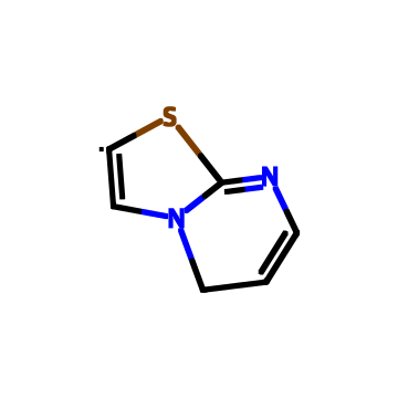 [C]1=CN2CC=CN=C2S1